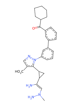 CN(N)/C=C(\N)C1CC1c1c(C(=O)O)cnn1-c1cccc(-c2cccc(C(=O)C3CCCCC3)c2)c1